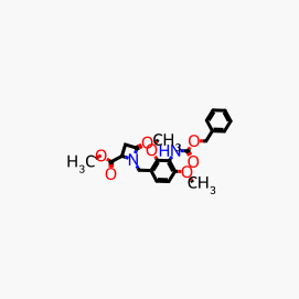 COC(=O)C1CC(=O)N1Cc1ccc(OC)c(NC(=O)OCc2ccccc2)c1OC